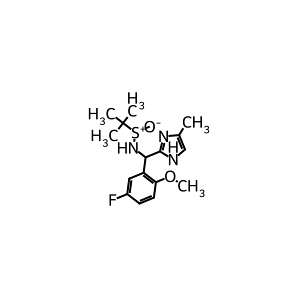 COc1ccc(F)cc1C(N[S+]([O-])C(C)(C)C)c1nc(C)c[nH]1